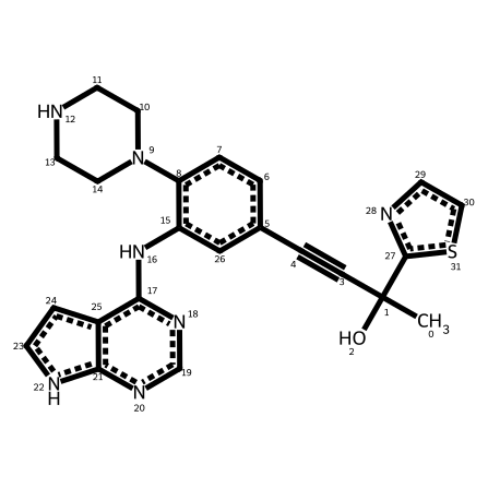 CC(O)(C#Cc1ccc(N2CCNCC2)c(Nc2ncnc3[nH]ccc23)c1)c1nccs1